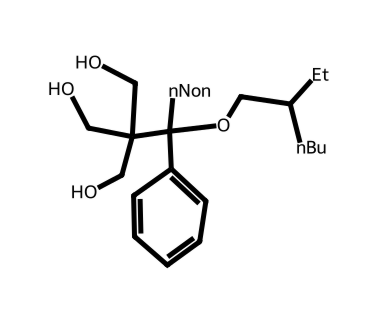 CCCCCCCCCC(OCC(CC)CCCC)(c1ccccc1)C(CO)(CO)CO